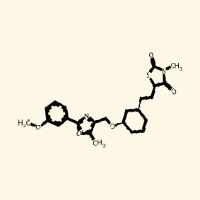 COc1cccc(-c2nc(CO[C@@H]3CCC[C@H](CCC4SC(=O)N(C)C4=O)C3)c(C)o2)c1